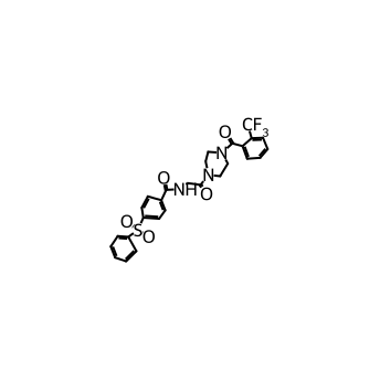 O=C(NCC(=O)N1CCN(C(=O)c2ccccc2C(F)(F)F)CC1)c1ccc(S(=O)(=O)c2ccccc2)cc1